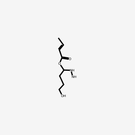 C/C=C/C(=O)OC(CCCO)N[NH]